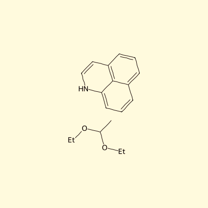 C1=Cc2cccc3cccc(c23)N1.CCOC(C)OCC